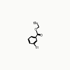 CCc1cccc(C(=O)OCC(C)(C)C)c1